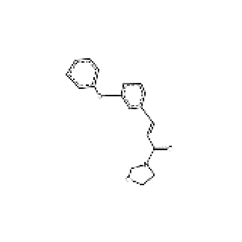 O=C(C=Cc1cccc(Oc2ccccc2)c1)N1CCOC1